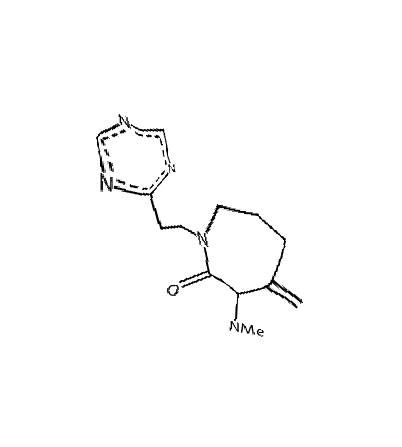 C=C1CCCN(Cc2ncncn2)C(=O)C1NC